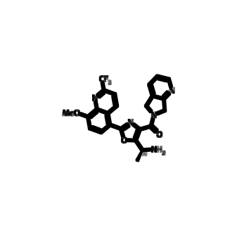 COc1ccc(-c2nc(C(=O)N3Cc4cccnc4C3)c([C@H](C)N)o2)c2ccc(C(F)(F)F)nc12